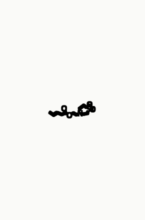 C/C=C/CC(=O)OCCN1CCS(=O)(=O)CC1